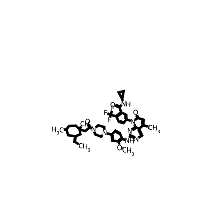 CCC1CC(C)CCC(C)(CC(=O)N2CCN(c3ccc(Nc4ncc5c(C)cc(=O)n(-c6ccc(C(F)(F)F)c(C(=O)NC7CC7)c6)c5n4)c(OC)c3)CC2)C1